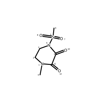 CN1CCN(S(C)(=O)=O)C(=O)C1=O